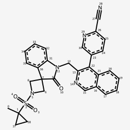 CC1(S(=O)(=O)N2CC3(C2)C(=O)N(Cc2ncc4ccccc4c2-c2ccc(C#N)nc2)c2ccccc23)CC1